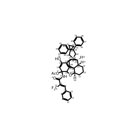 CC(=O)OC1(NC(=O)C(=Cc2ccccc2)C(F)(F)F)C=C(O)C2=C3C1O[C@H]1CCC[C@H]4[C@@H](C2)[N+](CC2CC2)(CC(c2ccccc2)c2ccccc2)CC[C@]314